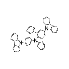 c1ccc2c(c1)-c1cc(-n3c4ccccc4c4ccccc43)ccc1-n1c3ccccc3c3cc(-n4c5ccccc5c5ccccc54)cc-2c31